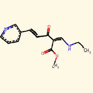 CCNC=C(C(=O)C=Cc1cccnc1)C(=O)OC